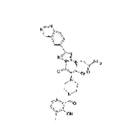 CCc1c(N2CCN(C(=O)c3ncnc(C)c3O)CC2)c(=O)n2nc(-c3ccc4ncncc4c3)nc2n1CC(N)=O